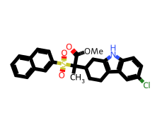 COC(=O)C(C)(C1CCc2c([nH]c3ccc(Cl)cc23)C1)S(=O)(=O)c1ccc2ccccc2c1